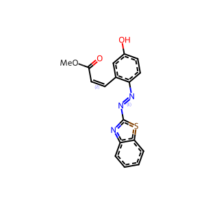 COC(=O)/C=C\c1cc(O)ccc1/N=N/c1nc2ccccc2s1